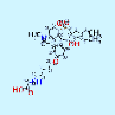 CCCCC1(CCCC)CS(=O)(=O)c2ccc(N(C)C)cc2[C@@H](c2ccc(OCCCCCNCC(=O)O)cc2)[C@H]1O